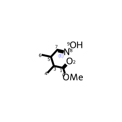 COC(=O)C(C)C(C)/C=N/O